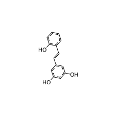 Oc1cc(O)cc(C=Cc2ccccc2O)c1